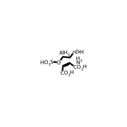 CCCCCCCCCCCCOS(=O)(=O)O.N.O=C(O)/C=C\C(=O)O.[AlH3]